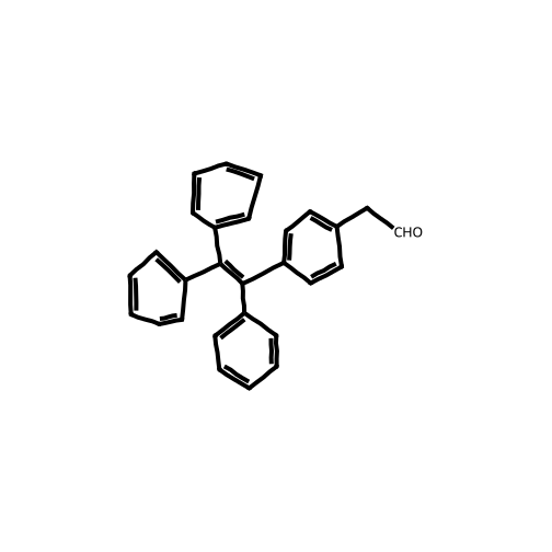 O=CCc1ccc(C(=C(c2ccccc2)c2ccccc2)c2ccccc2)cc1